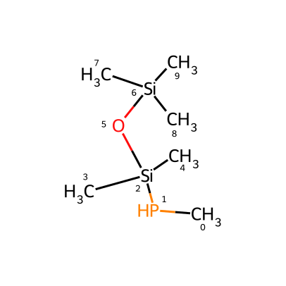 CP[Si](C)(C)O[Si](C)(C)C